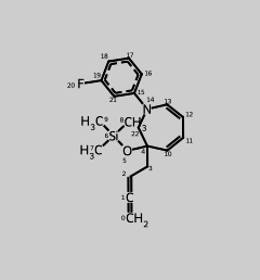 C=C=CCC1(O[Si](C)(C)C)C=CC=CN(c2cccc(F)c2)C1